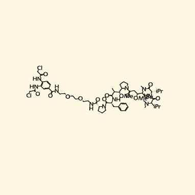 CCC(C)C(C(CC(=O)N1CCCC1C(OC)C(C)C(=O)N[C@@H](Cc1ccccc1)C(=O)N1CCC[C@@H]1C(=O)NCCOCCOCCNC(=O)c1ccc(NC(=O)CCl)c(NC(=O)CCl)c1)OC)N(C)C(=O)[C@@H](NC(=O)C(C(C)C)N(C)C)C(C)C